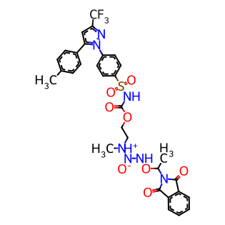 Cc1ccc(-c2cc(C(F)(F)F)nn2-c2ccc(S(=O)(=O)NC(=O)OCCN(C)[NH+]([O-])NOC(C)N3C(=O)c4ccccc4C3=O)cc2)cc1